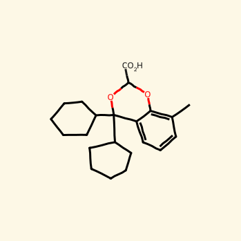 Cc1cccc2c1OC(C(=O)O)OC2(C1CCCCC1)C1CCCCC1